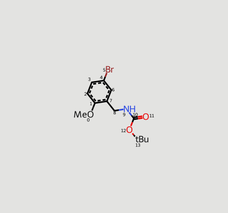 COc1ccc(Br)cc1CNC(=O)OC(C)(C)C